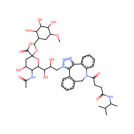 COC1CC(COC2(C(=O)O)CC(O)C(NC(C)=O)C(C(O)C(O)Cn3nnc4c3-c3ccccc3CN(C(=O)CCC(=O)NC(C)C(C)C)c3ccccc3-4)O2)C(O)C(O)C1O